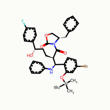 CC(C)(C)[Si](C)(C)Oc1cc(Br)ccc1[C@@H](Nc1ccccc1)[C@@H](CC[C@H](O)c1ccc(F)cc1)C(=O)N1C(=O)OC[C@@H]1Cc1ccccc1